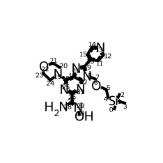 C[Si](C)(C)CCOCn1c(-c2ccncc2)nc2c(N3CCOCC3)nc(/C(N)=N/O)nc21